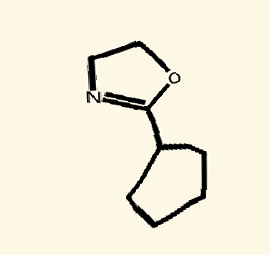 C1CCC(C2=NCCO2)C1